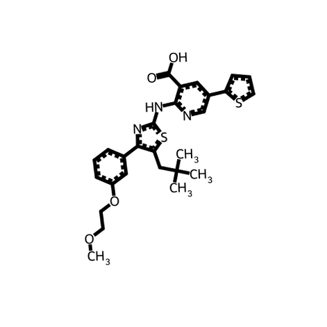 COCCOc1cccc(-c2nc(Nc3ncc(-c4cccs4)cc3C(=O)O)sc2CC(C)(C)C)c1